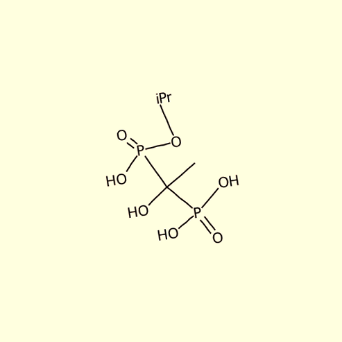 CC(C)OP(=O)(O)C(C)(O)P(=O)(O)O